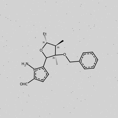 CC[C@H]1OC(c2ccc(C=O)n2N)[C@](C)(OCc2ccccc2)[C@@H]1C